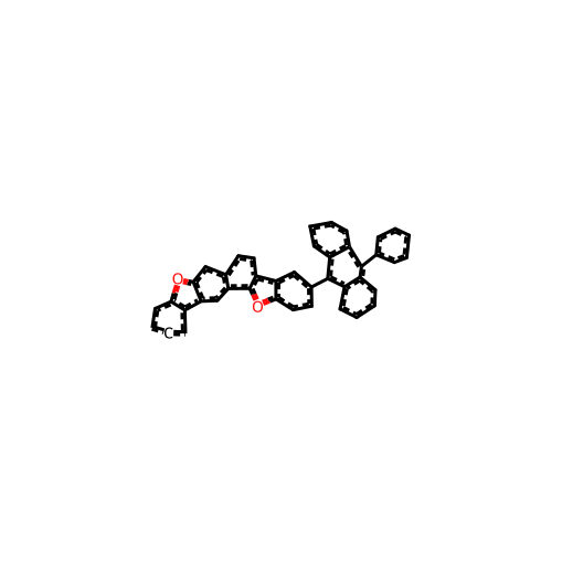 c1ccc(-c2c3ccccc3c(-c3ccc4oc5c6cc7c(cc6ccc5c4c3)oc3ccccc37)c3ccccc23)cc1